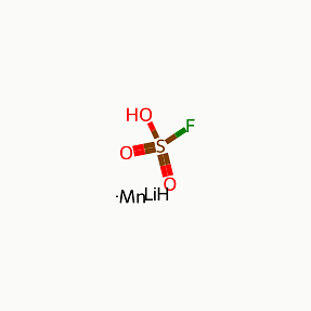 O=S(=O)(O)F.[LiH].[Mn]